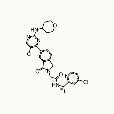 C[C@@H](NC(=O)CN1Cc2ccc(-c3nc(NC4CCOCC4)ncc3Cl)cc2C1=O)c1cc(Cl)ccn1